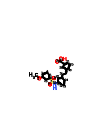 COc1cccc(S(=O)(=O)Nc2cccc(CCc3cccc(C(=O)O)c3)c2)c1